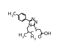 Cc1ccc(-c2nnc(SCC(=O)O)n2CC(C)C)cc1